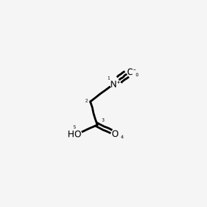 [C-]#[N+]CC(=O)O